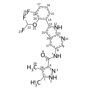 Cc1[nH]nc(C(=O)Nc2cnc3[nH]c(-c4cccc(F)c4OC(F)F)cc3c2)c1C